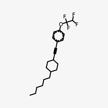 CCCCCCC1CCC(C#Cc2ccc(OC(F)(F)C(F)F)cc2)CC1